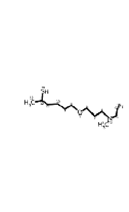 CC(C)CN(C)CCCOCCCCC(C)S